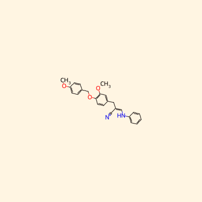 COc1ccc(COc2ccc(CC(C#N)=CNc3ccccc3)cc2OC)cc1